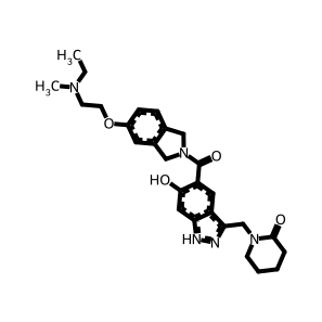 CCN(C)CCOc1ccc2c(c1)CN(C(=O)c1cc3c(CN4CCCCC4=O)n[nH]c3cc1O)C2